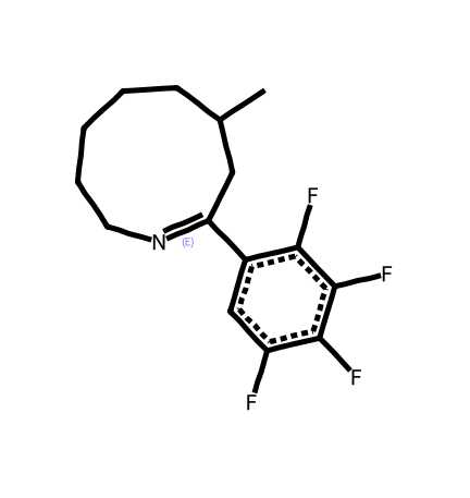 CC1CCCCC/N=C(/c2cc(F)c(F)c(F)c2F)C1